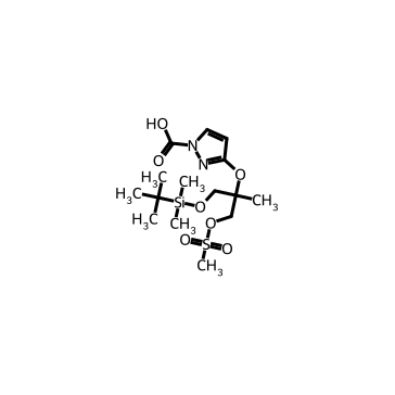 CC(CO[Si](C)(C)C(C)(C)C)(COS(C)(=O)=O)Oc1ccn(C(=O)O)n1